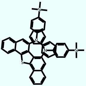 C[Si](C)(C)c1ccc(N(c2ccccc2)c2cc3ccccc3c3sc4c5ccccc5cc(N(c5ccccc5)c5ccc([Si](C)(C)C)cc5)c4c23)cc1